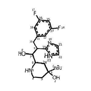 CCCCC1(O)CCNC(C(O)C(Cc2cc(F)cc(F)c2)c2ncc[nH]2)C1